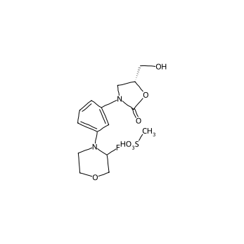 CS(=O)(=O)O.O=C1O[C@@H](CO)CN1c1cccc(N2CCOCC2F)c1